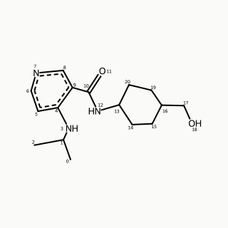 CC(C)Nc1ccncc1C(=O)NC1CCC(CO)CC1